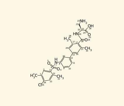 Cc1cc(S(=O)(=O)Nc2cccc(-c3cc(C)c(C(=O)N[C@@H](CN)C(=O)O)c(C)c3)c2)c(C)cc1Cl